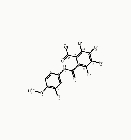 COc1ccc(NC(=O)c2c(Br)c(Br)c(Br)c(Br)c2C(=O)O)cc1Cl